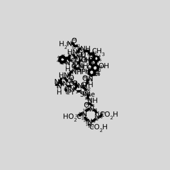 CSCC[C@H](NC(=O)[C@H](CC(C)C)NC(=O)[C@H](Cc1c[nH]cn1)NC(=O)CNC(=O)[C@@H](NC(=O)[C@H](C)NC(=O)[C@H](Cc1c[nH]c2ccccc12)NC(=O)[C@H](CCC(N)=O)NC(=O)CC[C@@H](C)[C@H]1CCC2C3C(C[C@@H]4O[C@@]241)[C@@]1(C)CC[C@H](NC(=O)COCCOCCNC(=O)CN2CCN(CC(=O)O)CCN(CC(=O)O)CCN(CC(=O)O)CC2)C[C@H]1C[C@H]3O)C(C)C)C(N)=O